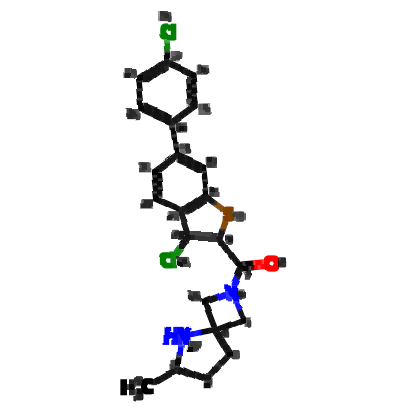 CC1CCC2(CN(C(=O)c3sc4cc(-c5ccc(Cl)cc5)ccc4c3Cl)C2)N1